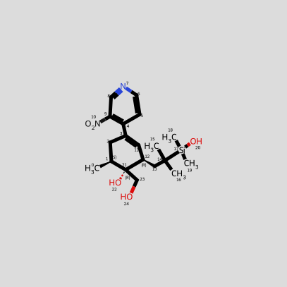 C[C@H]1CC(c2ccncc2[N+](=O)[O-])=C[C@@H](CC(C)(C)[Si](C)(C)O)[C@@]1(O)CO